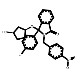 O=C1c2ccccc2C(O[C@H]2CC[C@@H](O)C2)(c2ccc(Cl)cc2)N1Cc1ccc([N+](=O)[O-])cc1